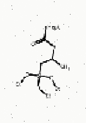 CCCCCCCC(=O)SC(C)C[Si](OCC)(OCC)OCC